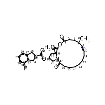 C=C1OC(=O)CCC(C)/C=C\CCCCCCC(=O)N2C[C@H](OC(=O)N3Cc4cccc(F)c4C3)C[C@@H]12